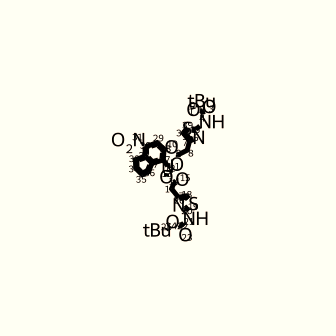 CC(C)(C)OC(=O)Nc1nc(CC(=O)ON(OC(=O)Cc2csc(NC(=O)OC(C)(C)C)n2)c2ccc([N+](=O)[O-])c3ccccc23)cs1